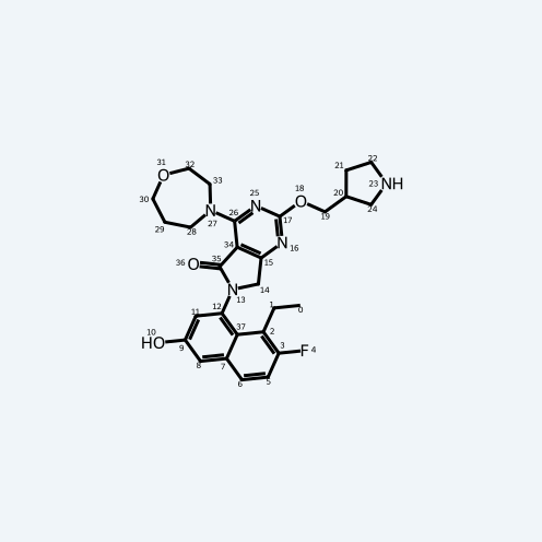 CCc1c(F)ccc2cc(O)cc(N3Cc4nc(OCC5CCNC5)nc(N5CCCOCC5)c4C3=O)c12